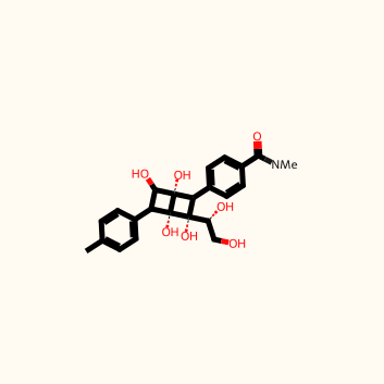 CNC(=O)c1ccc(C2[C@]3(O)C(O)C(c4ccc(C)cc4)[C@]3(O)[C@]2(O)[C@H](O)CO)cc1